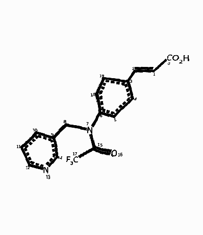 O=C(O)C=Cc1ccc(N(Cc2cccnc2)C(=O)C(F)(F)F)cc1